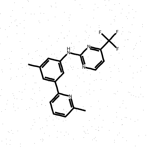 Cc1cc(Nc2nccc(C(F)(F)F)n2)cc(-c2cccc(C)n2)c1